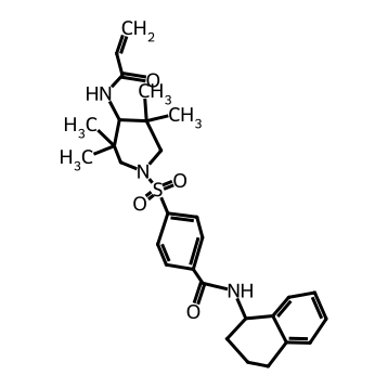 C=CC(=O)NC1C(C)(C)CN(S(=O)(=O)c2ccc(C(=O)NC3CCCc4ccccc43)cc2)CC1(C)C